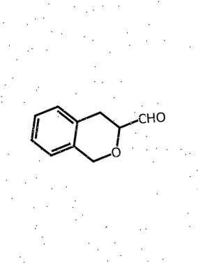 O=CC1Cc2ccccc2CO1